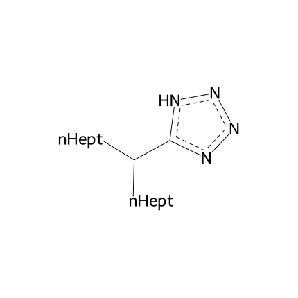 CCCCCCCC(CCCCCCC)c1nnn[nH]1